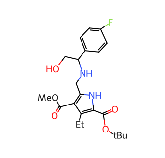 CCc1c(C(=O)OC(C)(C)C)[nH]c(CNC(CO)c2ccc(F)cc2)c1C(=O)OC